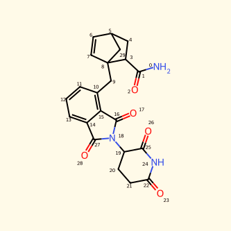 NC(=O)C1CC2C=CC1(Cc1cccc3c1C(=O)N(C1CCC(=O)NC1=O)C3=O)C2